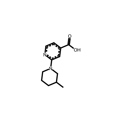 CC1CCCN(c2cc(C(=O)O)ccn2)C1